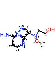 CCON(CCO)c1cnn2c(N)ccnc12